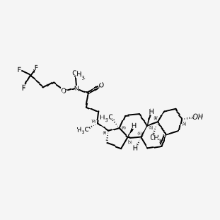 C[C@H](CCC(=O)N(C)OCCC(F)(F)F)[C@H]1CC[C@H]2[C@@H]3CC=C4C[C@@H](O)CC[C@]4(C)[C@H]3CC[C@]12C